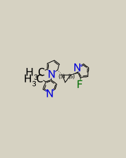 CC1=CC=CC([C@H]2C[C@@H]2c2ncccc2F)N1c1ccncc1C